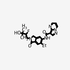 CCc1cc2c(cc1NC(=O)c1cnn3cccnc13)CN(CC(F)C(C)(C)O)C2=O